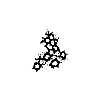 Cc1cc2c3c(c1)C(Cc1cc4c(cc1C)C(C)(C)CCC4(C)C)c1cc4c(cc1B3N1c3ccccc3Oc3cccc-2c31)Oc1ccccc1C4(C)C